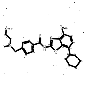 COCCN(C)Cc1ccc(C(=O)Nc2nc3c(OC)ccc(C4CCCCC4)c3s2)cc1